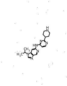 CC(C)n1cnc2cnc(Nc3ccnc(C4CCNCC4)n3)cc21